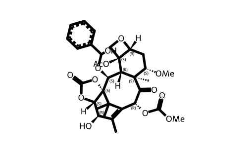 COC(=O)O[C@H]1C(=O)[C@]2(C)[C@@H](OC)C[C@H]3OC[C@@]3(OC(C)=O)[C@H]2[C@H](OC(O)c2ccccc2)[C@]23OC(=O)O[C@H]2[C@H](O)C(C)=C1C3(C)C